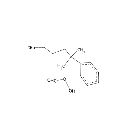 CC(C)(C)CCCC(C)(C)c1ccccc1.O=COO